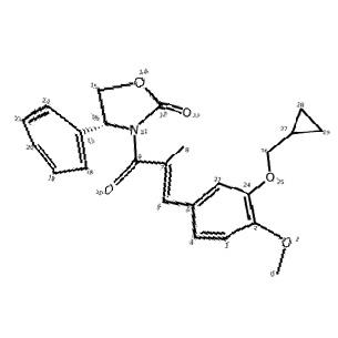 COc1ccc(/C=C(\C)C(=O)N2C(=O)OC[C@H]2c2ccccc2)cc1OCC1CC1